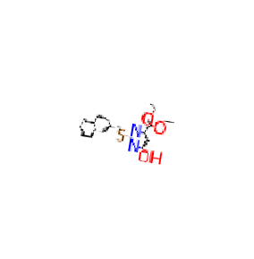 CCOC(OCC)c1cc(O)nc(SCc2ccc3ccccc3c2)n1